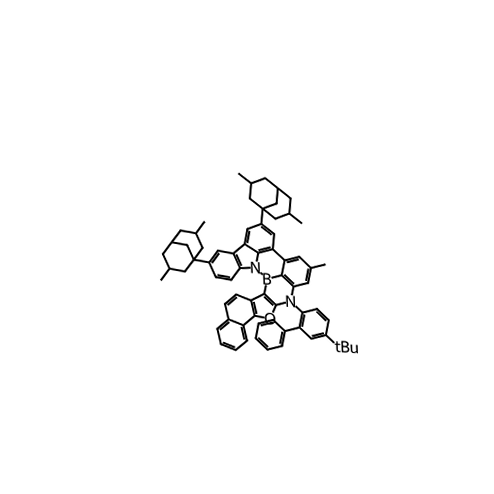 Cc1cc2c3c(c1)N(c1ccc(C(C)(C)C)cc1-c1ccccc1)c1oc4c(ccc5ccccc54)c1B3n1c3ccc(C45CC(C)CC(CC(C)C4)C5)cc3c3cc(C45CC(C)CC(CC(C)C4)C5)cc-2c31